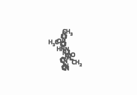 C=CCn1c(=O)c2cnc(Nc3ccc(N4CCN(C)CC4)c(OC)c3)nc2n1-c1cccc(-c2cccnn2)n1